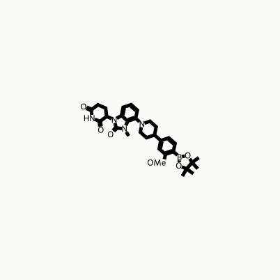 COc1cc(C2CCN(c3cccc4c3n(C)c(=O)n4C3CCC(=O)NC3=O)CC2)ccc1B1OC(C)(C)C(C)(C)O1